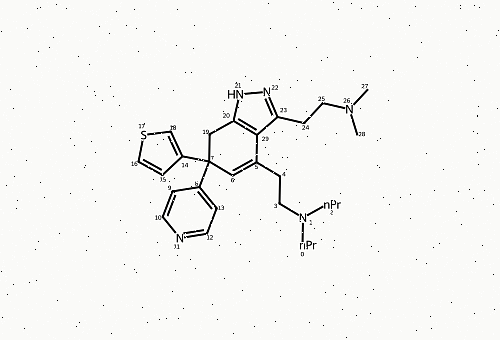 CCCN(CCC)CCC1=CC(c2ccncc2)(c2ccsc2)Cc2[nH]nc(CCN(C)C)c21